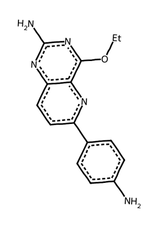 CCOc1nc(N)nc2ccc(-c3ccc(N)cc3)nc12